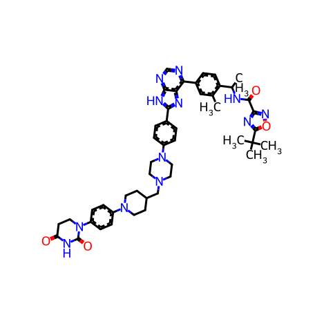 Cc1cc(-c2ncnc3[nH]c(-c4ccc(N5CCN(CC6CCN(c7ccc(N8CCC(=O)NC8=O)cc7)CC6)CC5)cc4)nc23)ccc1C(C)NC(=O)c1noc(C(C)(C)C)n1